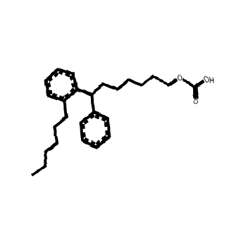 CCCCCCc1ccccc1C(CCCCCCOC(=O)O)c1ccccc1